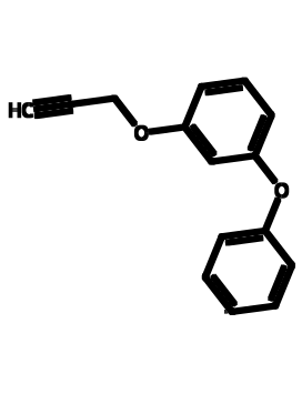 C#CCOc1cccc(Oc2cc[c]cc2)c1